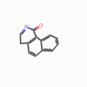 O=C1N=CCc2ccc3ccccc3c21